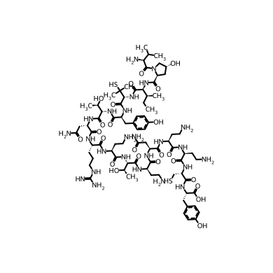 CC[C@H](C)[C@H](NC(=O)[C@@H]1C[C@@H](O)CN1C(=O)[C@@H](N)C(C)C)C(=O)N[C@H](C(=O)N[C@@H](Cc1ccc(O)cc1)C(=O)N[C@H](C(=O)N[C@@H](CC(N)=O)C(=O)N[C@@H](CCCNC(=N)N)C(=O)N[C@@H](CCN)C(=O)N[C@H](C(=O)N[C@H](CCN)C(=O)N[C@@H](CC(N)=O)C(=O)N[C@@H](CCN)C(=O)N[C@@H](CCN)C(=O)N[C@@H](CS)C(=O)N[C@@H](Cc1ccc(O)cc1)C(=O)O)[C@@H](C)O)[C@@H](C)O)C(C)(C)S